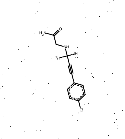 [2H]C([2H])(C#Cc1ccc(Cl)cc1)NCC(N)=O